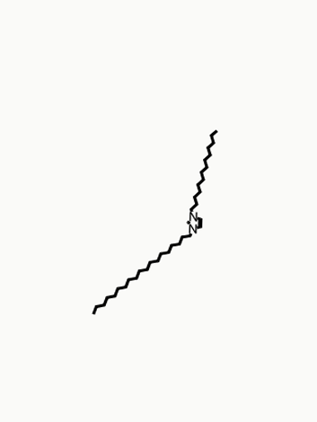 CCCCCCCCCCCCCCCCCCCN1C=CN(CCCCCCCCCCCCCC)C1